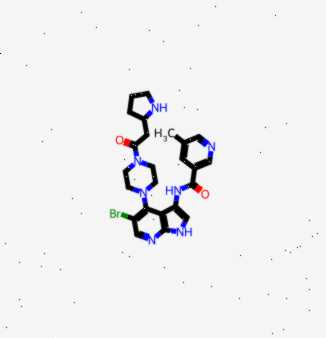 Cc1cncc(C(=O)Nc2c[nH]c3ncc(Br)c(N4CCN(C(=O)CC5CCCN5)CC4)c23)c1